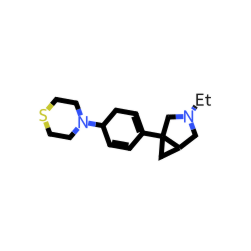 CCN1CC2CC2(C2=CCC(N3CCSCC3)C=C2)C1